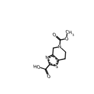 COC(=O)N1CCc2sc(C(=O)O)nc2C1